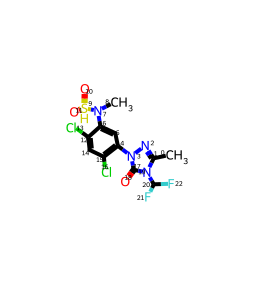 Cc1nn(-c2cc(N(C)[SH](=O)=O)c(Cl)cc2Cl)c(=O)n1C(F)F